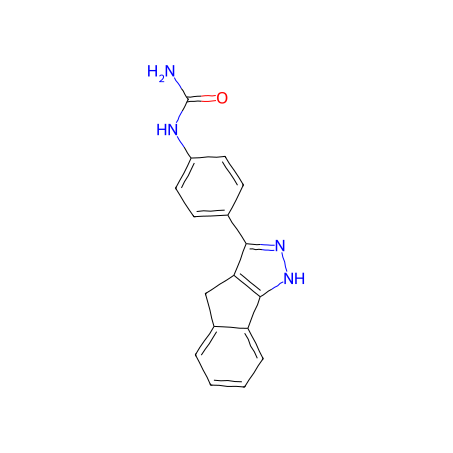 NC(=O)Nc1ccc(-c2n[nH]c3c2Cc2ccccc2-3)cc1